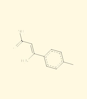 Cc1ccc(C(N)=CC(N)=O)cc1